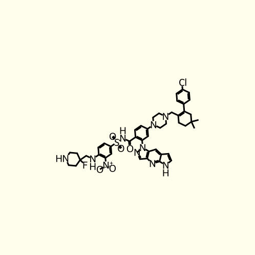 CC1(C)CCC(CN2CCN(c3ccc(C(=O)NS(=O)(=O)c4ccc(NCC5(F)CCNCC5)c([N+](=O)[O-])c4)c(-n4ncc5nc6[nH]ccc6cc54)c3)CC2)=C(c2ccc(Cl)cc2)C1